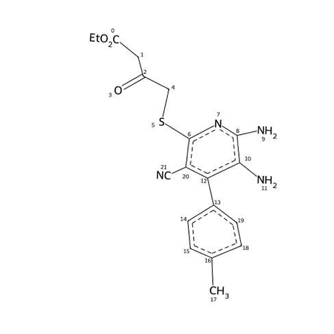 CCOC(=O)CC(=O)CSc1nc(N)c(N)c(-c2ccc(C)cc2)c1C#N